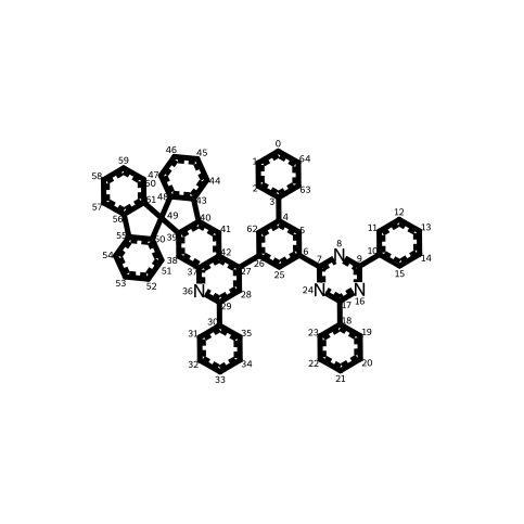 c1ccc(-c2cc(-c3nc(-c4ccccc4)nc(-c4ccccc4)n3)cc(-c3cc(-c4ccccc4)nc4cc5c(cc34)-c3ccccc3C53c4ccccc4-c4ccccc43)c2)cc1